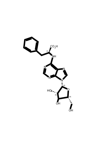 O=C(O)[C@H](Cc1ccccc1)Nc1ncnc2c1ncn2[C@@H]1O[C@H](CO)C(O)[C@@H]1O